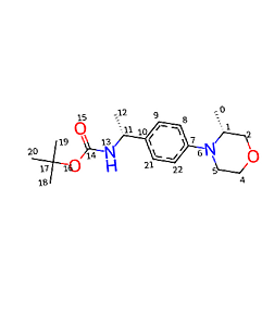 C[C@@H]1COCCN1c1ccc([C@@H](C)NC(=O)OC(C)(C)C)cc1